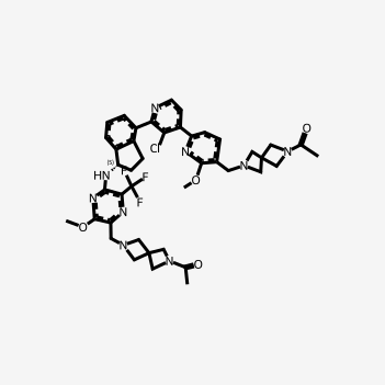 COc1nc(-c2ccnc(-c3cccc4c3CC[C@@H]4Nc3nc(OC)c(CN4CC5(C4)CN(C(C)=O)C5)nc3C(F)(F)F)c2Cl)ccc1CN1CC2(C1)CN(C(C)=O)C2